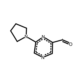 O=[C]c1cncc(N2CCCC2)n1